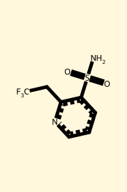 NS(=O)(=O)c1cccnc1CC(F)(F)F